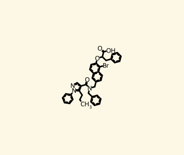 CCCc1c(C(=O)N(Cc2ccccc2)Cc2ccc3c(Br)c(OC(Cc4ccccc4)C(=O)O)ccc3c2)cnn1-c1ccccc1